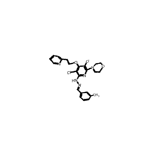 Cc1cccc(C=NNc2nc(N3CCOCC3)c(Cl)c(OCCc3ccccn3)c2Cl)c1